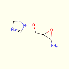 NC1OC1CON1C=NCC1